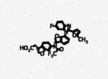 Cc1ccc(-c2nc3ccc(F)cc3n2-c2cccc3c2OC[C@H]3N(C(=O)C(F)(F)F)c2ccc3c(c2)OC[C@H]3CC(=O)O)o1